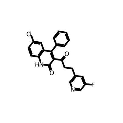 O=C(CCc1cncc(F)c1)c1c(-c2ccccc2)c2cc(Cl)ccc2[nH]c1=O